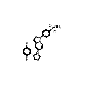 NS(=O)(=O)c1ccc(N2CC=C3C=C(N4CCC[C@@H]4c4cc(F)ccc4F)C=CN32)cc1